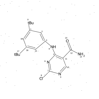 CC(C)(C)c1cc(Nc2nc(Cl)ncc2C(N)=O)cc(C(C)(C)C)c1